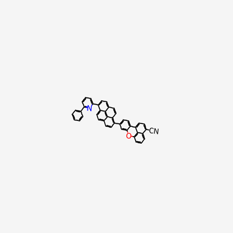 N#Cc1ccc2c3c(cccc13)Oc1cc(-c3ccc4ccc5c(-c6cccc(-c7ccccc7)n6)ccc6ccc3c4c65)ccc1-2